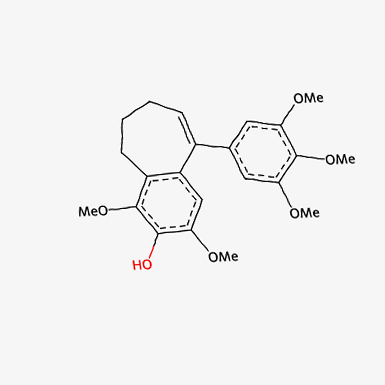 COc1cc2c(c(OC)c1O)CCCC=C2c1cc(OC)c(OC)c(OC)c1